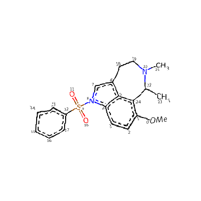 COc1ccc2c3c(cn2S(=O)(=O)c2ccccc2)CCN(C)C(C)c13